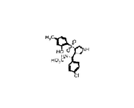 Cc1ccc(S(=O)(=O)[C@@H]2CNC[C@@H]2[C@@H](NC(=O)O)c2ccc(Cl)cc2)c(O)c1